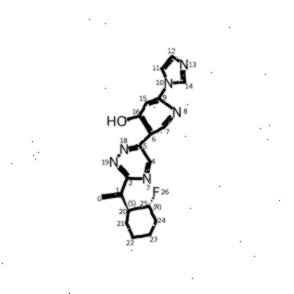 C=C(c1ncc(-c2cnc(-n3ccnc3)cc2O)nn1)[C@@H]1CCCC[C@H]1F